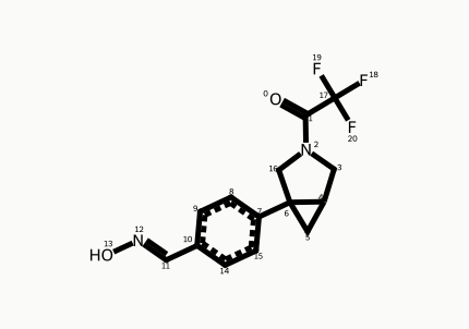 O=C(N1CC2CC2(c2ccc(C=NO)cc2)C1)C(F)(F)F